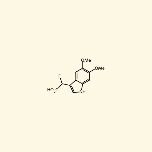 COc1cc2[nH]cc(C(F)C(=O)O)c2cc1OC